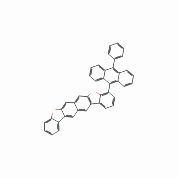 c1ccc(-c2c3ccccc3c(-c3cccc4c3oc3cc5cc6oc7ccccc7c6cc5cc34)c3ccccc23)cc1